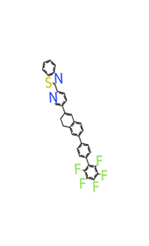 Fc1c(F)c(F)c(-c2ccc(-c3ccc4c(c3)CCC(c3ccc(-c5nc6ccccc6s5)nc3)=C4)cc2)c(F)c1F